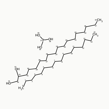 CCCCCCCCCCCCCCCC.CCCCCCCCCCCCCCCCC(O)CO.OP(O)O